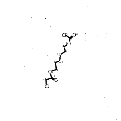 O=C(Cl)OCCSSCCOC(=O)CCl